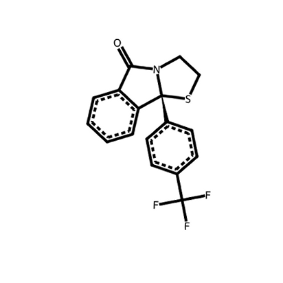 O=C1c2ccccc2[C@@]2(c3ccc(C(F)(F)F)cc3)SCCN12